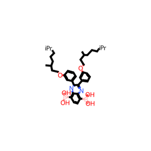 CC(C)CCCC(C)CCOc1cccc(-c2nc3c(B(O)O)ccc(B(O)O)c3nc2-c2cccc(OCCC(C)CCCC(C)C)c2)c1